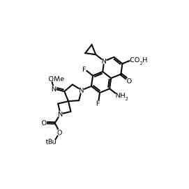 CON=C1CN(c2c(F)c(N)c3c(=O)c(C(=O)O)cn(C4CC4)c3c2F)CC12CN(C(=O)OC(C)(C)C)C2